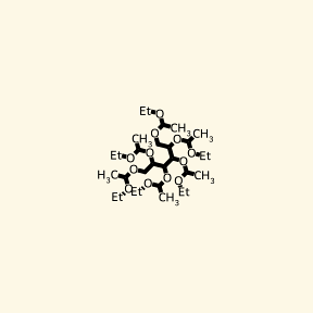 CCOC(C)OCC(OC(C)OCC)C(OC(C)OCC)C(OC(C)OCC)C(COC(C)OCC)OC(C)OCC